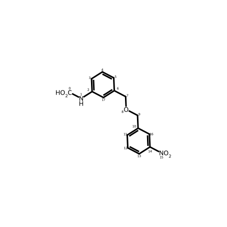 O=C(O)Nc1cccc(COCc2cccc([N+](=O)[O-])c2)c1